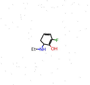 CCNC1CC=CC(F)=C1O